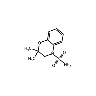 CC1(C)CN(S(N)(=O)=O)c2ccccc2O1